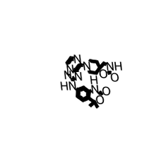 CC1(C)OC(=O)Nc2cc(Nc3nc4c(N5CCC6(CC5)CNC(=O)O6)nccn4n3)ccc21